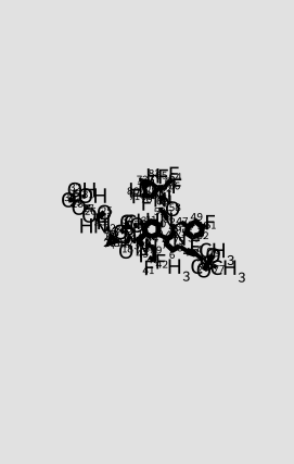 CC(C)(C#Cc1ccc(-c2ccc(Cl)c3c(N(C(=O)[C@H]4C[C@H]4CNC(=O)OCOP(=O)(O)O)S(C)(=O)=O)nn(CC(F)(F)F)c23)c([C@H](Cc2cc(F)cc(F)c2)NC(=O)Cn2nc(C(F)(F)F)c3c2C(F)(F)[C@@H]2C[C@H]32)n1)S(C)(=O)=O